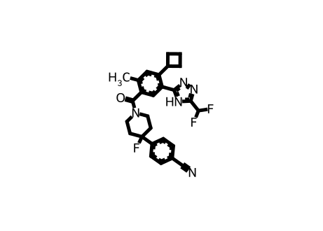 Cc1cc(C2CCC2)c(-c2nnc(C(F)F)[nH]2)cc1C(=O)N1CCC(F)(c2ccc(C#N)cc2)CC1